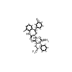 Cc1cccc2c1NC(=O)[C@@H](NC(=O)[C@H](CCC(F)(F)F)[C@@H](C(N)=O)c1ccccc1)N=C2c1cccc(F)c1